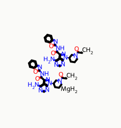 C=CC(=O)N1CCC[C@@H](n2nc(C(=O)Nc3nc4ccccc4o3)c3c(N)ncnc32)C1.C=CC(=O)N1CCC[C@@H](n2nc(C(=O)Nc3nc4ccccc4o3)c3c(N)ncnc32)C1.[MgH2]